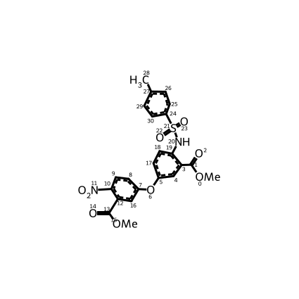 COC(=O)c1cc(Oc2ccc([N+](=O)[O-])c(C(=O)OC)c2)ccc1NS(=O)(=O)c1ccc(C)cc1